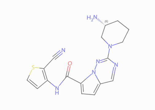 N#Cc1sccc1NC(=O)c1ccc2cnc(N3CCC[C@@H](N)C3)nn12